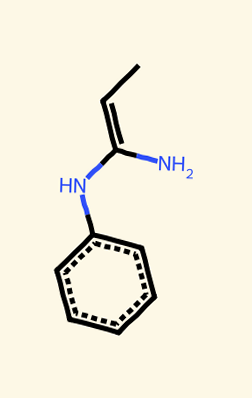 CC=C(N)Nc1ccccc1